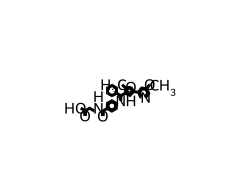 COc1cncc(-c2cc(C(Nc3ccc(C(=O)NCCC(=O)O)cc3)C3CCCCC3)c(C)o2)c1